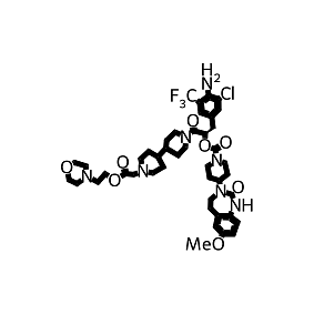 COc1ccc2c(c1)CCN(C1CCN(C(=O)O[C@H](Cc3cc(Cl)c(N)c(C(F)(F)F)c3)C(=O)N3CCC(C4CCN(CC(=O)OCCN5CCOCC5)CC4)CC3)CC1)C(=O)N2